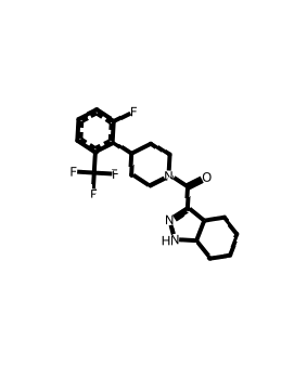 O=C(C1=NNC2CCCCC12)N1CCC(c2c(F)cccc2C(F)(F)F)CC1